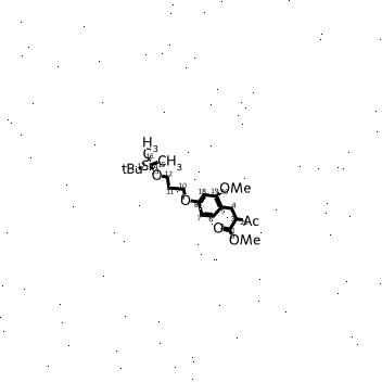 COC(=O)C(Cc1ccc(OCCCO[Si](C)(C)C(C)(C)C)cc1OC)C(C)=O